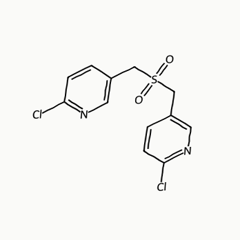 O=S(=O)(Cc1ccc(Cl)nc1)Cc1ccc(Cl)nc1